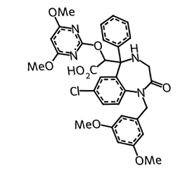 COc1cc(CN2C(=O)CNC(c3ccccc3)(C(Oc3nc(OC)cc(OC)n3)C(=O)O)c3cc(Cl)ccc32)cc(OC)c1